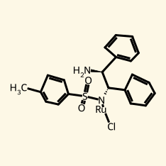 Cc1ccc(S(=O)(=O)[N]([Ru][Cl])[C@@H](c2ccccc2)[C@@H](N)c2ccccc2)cc1